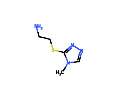 Cn1cnnc1SCCN